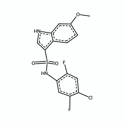 COc1ccc2c(S(=O)(=O)Nc3cc(F)c(Cl)cc3F)c[nH]c2c1